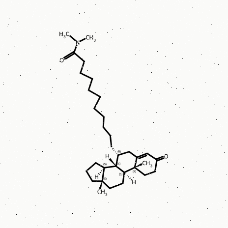 CN(C)C(=O)CCCCCCCCCC[C@@H]1CC2=CC(=O)CC[C@]2(C)[C@H]2CC[C@]3(C)CCC[C@H]3[C@H]12